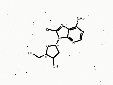 CNc1ncnc2c1nc(S)n2[C@H]1CC(O)[C@@H](CO)O1